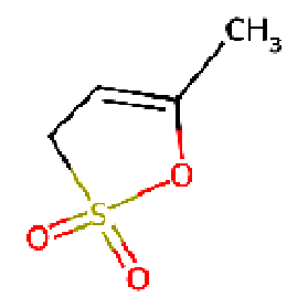 CC1=CCS(=O)(=O)O1